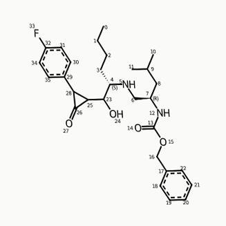 CCCC[C@H](NC[C@@H](CC(C)C)NC(=O)OCc1ccccc1)C(O)C1C(=O)C1c1ccc(F)cc1